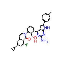 CC1=CCC=C(c2cc3c(-c4cccc(N5C=CC6C=C(C7CC7)C=C(F)C6C5=O)c4CO)nc(N)nc3[nH]2)C=C1